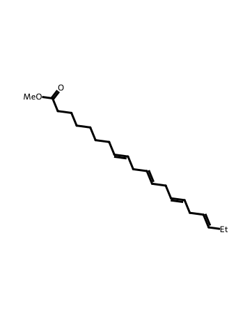 CCC=CCC=CCC=CCC=CCCCCCCC(=O)OC